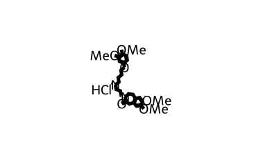 COc1ccc(OCCCCN(C)CCCN2CCc3cc(OC)c(OC)cc3CC2=O)cc1OC.Cl